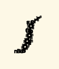 C=CCCCOc1ccc(C(=O)Oc2ccc(-c3ccc(C4CCC(OCCCC)CC4)c(F)c3F)cc2)cc1F